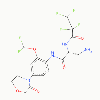 NC[C@@H](NC(=O)C(F)(F)C(F)F)C(=O)Nc1ccc(N2CCOCC2=O)cc1OC(F)F